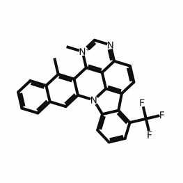 Cc1c2ccccc2cc2c1c1c3c(ccc4c5c(C(F)(F)F)cccc5n2c43)nc[n+]1C